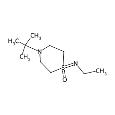 CCN=S1(=O)CCN(C(C)(C)C)CC1